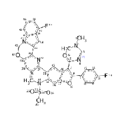 CN(C)/C=N\C(=O)c1c(-c2ccc(F)cc2)oc2cc(N(C)S(C)(=O)=O)c(-c3ccc4c(n3)-c3cc5c(F)cccc5n3CO4)cc12